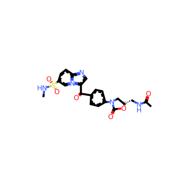 CNS(=O)(=O)c1ccc2ncc(C(=O)c3ccc(N4C[C@H](CNC(C)=O)OC4=O)cc3)n2c1